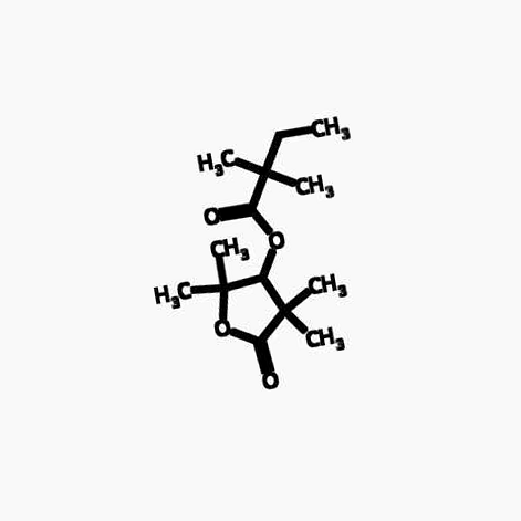 CCC(C)(C)C(=O)OC1C(C)(C)OC(=O)C1(C)C